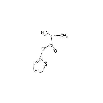 C[C@H](N)C(=O)Oc1cccs1